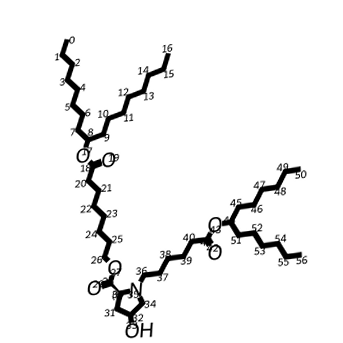 CCCCCCCCC(CCCCCCCC)OC(=O)CCCCCCCOC(=O)[C@@H]1CC(O)CN1CCCCCC(=O)OC(CCCCCC)CCCCCC